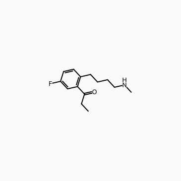 CCC(=O)c1cc(F)ccc1CCCCNC